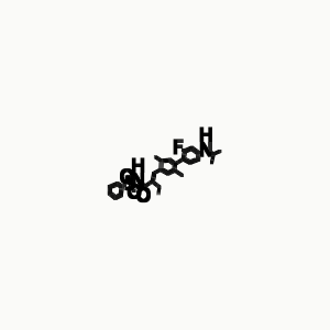 CC/C(=C\c1cc(C)c(-c2ccc(NC(C)C)cc2F)cc1C)C(=O)NS(=O)(=O)c1ccccc1